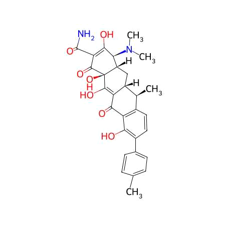 Cc1ccc(-c2ccc3c(c2O)C(=O)C2=C(O)[C@]4(O)C(=O)C(C(N)=O)=C(O)[C@@H](N(C)C)[C@@H]4C[C@@H]2[C@H]3C)cc1